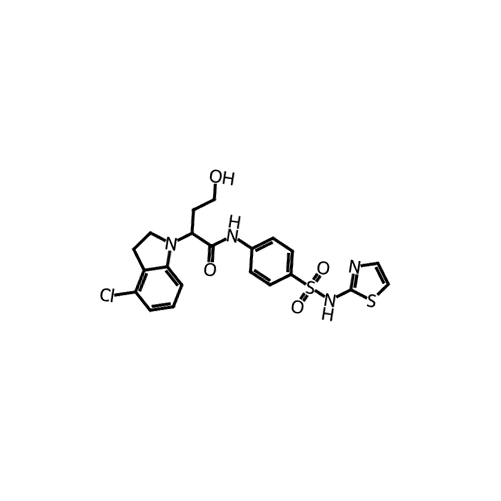 O=C(Nc1ccc(S(=O)(=O)Nc2nccs2)cc1)C(CCO)N1CCc2c(Cl)cccc21